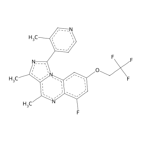 Cc1cnccc1-c1nc(C)c2c(C)nc3c(F)cc(OCC(F)(F)F)cc3n12